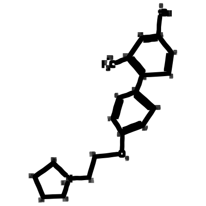 CC(C)(C)c1ccc(-c2ccc(OCCN3CCCC3)cc2)c(C(F)(F)F)c1